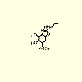 CCCNC1=NC2C(CC([C@H](C)O)C(O)C2O)O1